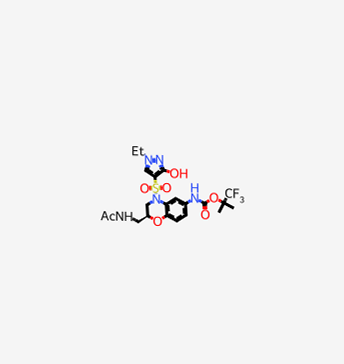 CCn1cc(S(=O)(=O)N2C[C@H](CNC(C)=O)Oc3ccc(NC(=O)OC(C)(C)C(F)(F)F)cc32)c(O)n1